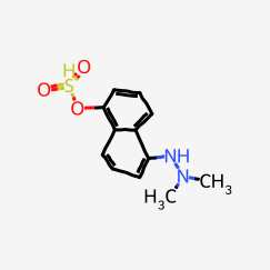 CN(C)Nc1cccc2c(O[SH](=O)=O)cccc12